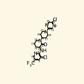 O=C1[C@@H](Nc2ncc(C(F)(F)F)cc2Cl)CCCN1C1CCN(c2cnc(Cl)cn2)CC1